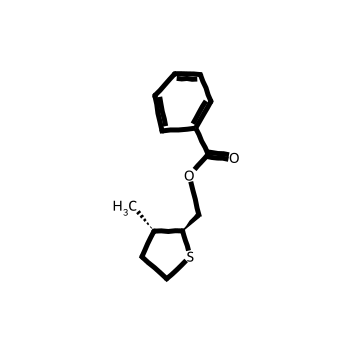 C[C@H]1CCS[C@@H]1COC(=O)c1ccccc1